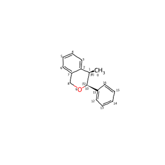 C[C@@H]1c2ccccc2CO[C@@H]1c1ccccc1